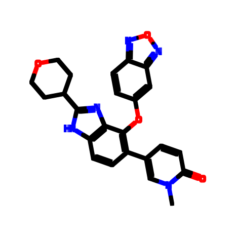 Cn1cc(-c2ccc3[nH]c(C4CCOCC4)nc3c2Oc2ccc3nonc3c2)ccc1=O